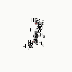 Cc1c(-c2nc3cc(CN(C)C)c(OCc4ccc(S(C)(=O)=O)cc4)cc3o2)cccc1-c1cccc(-c2nc3cc(CN4CCC[C@H]4C(=O)O)c(OC(F)F)cc3o2)c1C